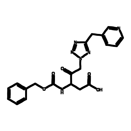 O=C(O)CC(NC(=O)OCc1ccccc1)C(=O)Cn1nnc(Cc2cccnc2)n1